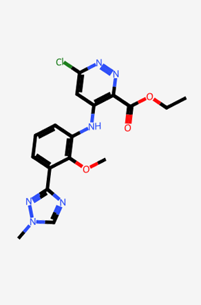 CCOC(=O)c1nnc(Cl)cc1Nc1cccc(-c2ncn(C)n2)c1OC